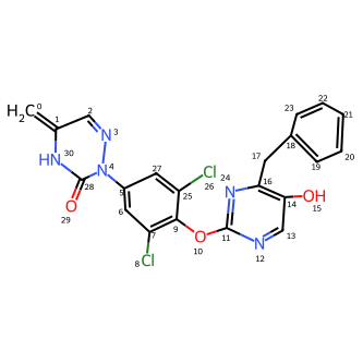 C=C1C=NN(c2cc(Cl)c(Oc3ncc(O)c(Cc4ccccc4)n3)c(Cl)c2)C(=O)N1